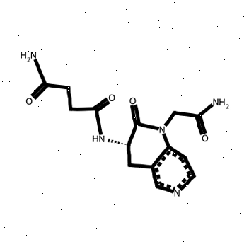 NC(=O)CCC(=O)N[C@H]1Cc2cnccc2N(CC(N)=O)C1=O